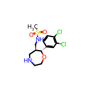 CS(=O)(=O)NC[C@@H]1CNCCO[C@H]1c1ccc(Cl)c(Cl)c1